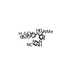 CNC(=O)c1nnc(Nc2cnc(C#N)cn2)cc1NC1CCC(O[Si](C)(C)C(C)(C)C)CC1